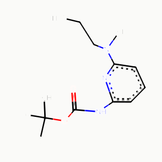 CCCN(C)c1cccc(NC(=O)OC(C)(C)C)n1